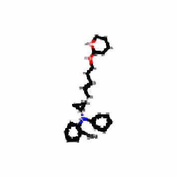 CC(C)(C)c1ccccc1N(c1ccccc1)[C@@H]1C[C@@H]1CC=CCCOC1CCCCO1